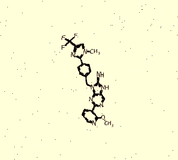 COc1ncccc1-c1ncc2[nH]c(=N)n(Cc3ccc(-c4nc(C(F)(F)F)cn4C)cc3)c2n1